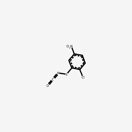 O=C=NSc1cc([N+](=O)[O-])ccc1Cl